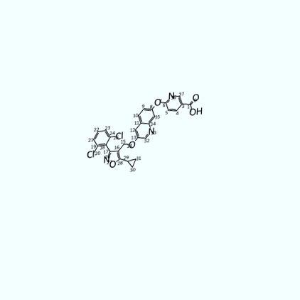 O=C(O)c1ccc(Oc2ccc3cc(OCc4c(-c5c(Cl)cccc5Cl)noc4C4CC4)cnc3c2)nc1